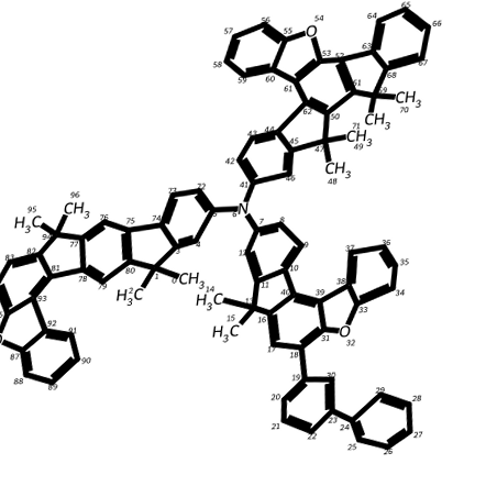 CC1(C)c2cc(N(c3ccc4c(c3)C(C)(C)c3cc(-c5cccc(-c6ccccc6)c5)c5oc6ccccc6c5c3-4)c3ccc4c(c3)C(C)(C)c3c5c(c6oc7ccccc7c6c3-4)-c3ccccc3C5(C)C)ccc2-c2cc3c(cc21)-c1c(ccc2oc4ccccc4c12)C3(C)C